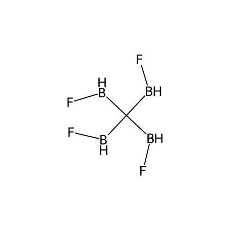 FBC(BF)(BF)BF